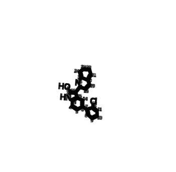 Oc1[nH]c2ccc(-c3ccccc3Cl)cc2c1-c1ccc2ccccc2n1